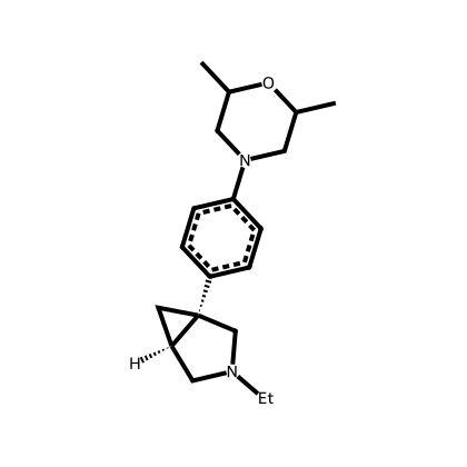 CCN1C[C@H]2C[C@@]2(c2ccc(N3CC(C)OC(C)C3)cc2)C1